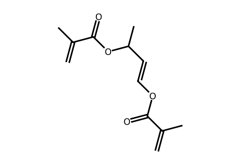 C=C(C)C(=O)OC=CC(C)OC(=O)C(=C)C